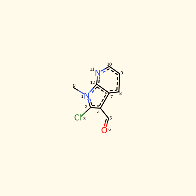 Cn1c(Cl)c(C=O)c2cccnc21